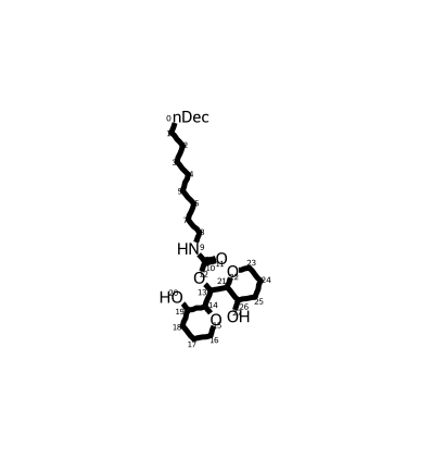 CCCCCCCCCCCCCCCCCCNC(=O)OC(C1OCCCC1O)C1OCCCC1O